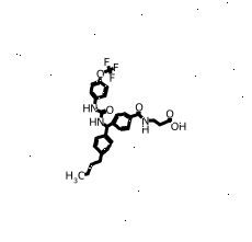 CCCCc1ccc(C(NC(=O)Nc2ccc(OC(F)(F)F)cc2)c2ccc(C(=O)NCCC(=O)O)cc2)cc1